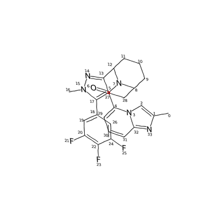 Cc1cn2c(C(=O)N3C4CCCC3c3nn(C)c(-c5cc(F)c(F)c(F)c5)c3C4)cccc2n1